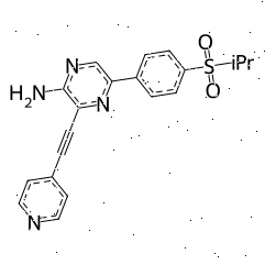 CC(C)S(=O)(=O)c1ccc(-c2cnc(N)c(C#Cc3ccncc3)n2)cc1